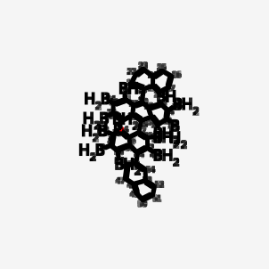 Bc1c(B)c(B)c2c(-c3c4c(B)c(B)c(B)c(B)c4c(-c4cccc5ccccc45)c4c(B)c(B)c(B)c(B)c34)c(B)c(B)c(-c3ccc4ccccc4c3)c2c1B